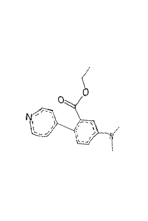 CCOC(=O)c1cc(N(C)C)ccc1-c1ccncc1